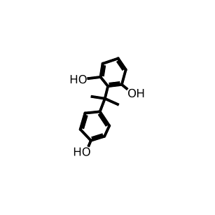 CC(C)(c1ccc(O)cc1)c1c(O)cccc1O